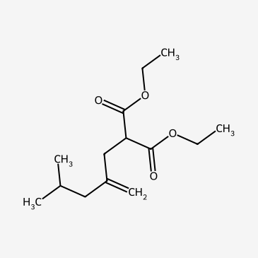 C=C(CC(C)C)CC(C(=O)OCC)C(=O)OCC